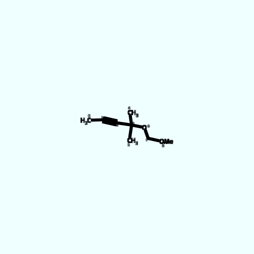 CC#CC(C)(C)OCOC